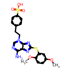 COc1ccc(OC)c(Sc2nc3c(N)ncn(CCc4ccc(S(=O)(=O)O)cc4)c-3n2)c1